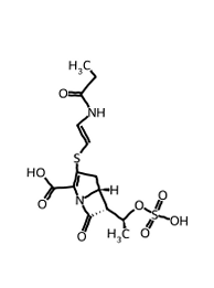 CCC(=O)NC=CSC1=C(C(=O)O)N2C(=O)[C@@H]([C@H](C)OS(=O)(=O)O)[C@H]2C1